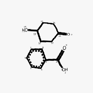 O=C(O)c1ccccc1.O=C1CCC(O)CC1